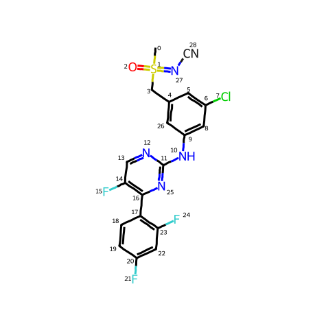 CS(=O)(Cc1cc(Cl)cc(Nc2ncc(F)c(-c3ccc(F)cc3F)n2)c1)=NC#N